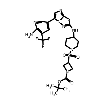 CC(C)(C)OC(=O)N1CC(S(=O)(=O)N2CCC(Nc3nn4c(-c5cnc(N)c(C(F)(F)F)c5)cnc4s3)CC2)C1